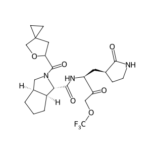 O=C1NCC[C@H]1C[C@H](NC(=O)[C@@H]1[C@H]2CCC[C@H]2CN1C(=O)C1CC2(CC2)CO1)C(=O)COC(F)(F)F